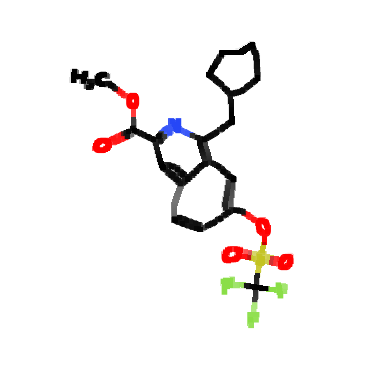 COC(=O)c1cc2ccc(OS(=O)(=O)C(F)(F)F)cc2c(CC2CCCC2)n1